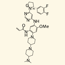 C=CC(=O)Nc1cc(Nc2cc(N3OCC[C@@H]3c3ccc(F)c(F)c3)ncn2)c(OC)cc1N1CCC(N2CCC(N(C)C)CC2)CC1